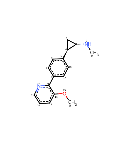 CN[C@H]1C[C@@H]1c1ccc(-c2ncccc2OC)cc1